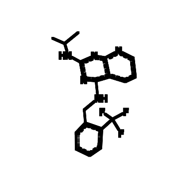 CC(C)Nc1nc(NCc2ccccc2C(F)(F)F)c2cccnc2n1